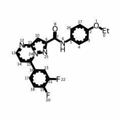 CCOc1ccc(NC(=O)c2cc3nccc(-c4ccc(F)c(F)c4)n3n2)cc1